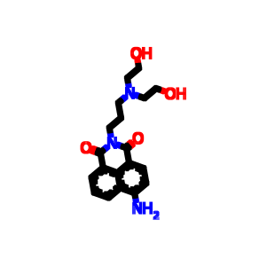 Nc1ccc2c3c(cccc13)C(=O)N(CCCN(CCO)CCO)C2=O